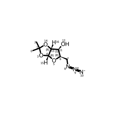 CC1(C)O[C@H]2O[C@H](CN=[N+]=[N-])[C@H](O)[C@H]2O1